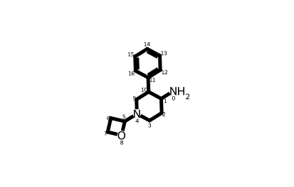 NC1CCN(C2CCO2)CC1c1ccccc1